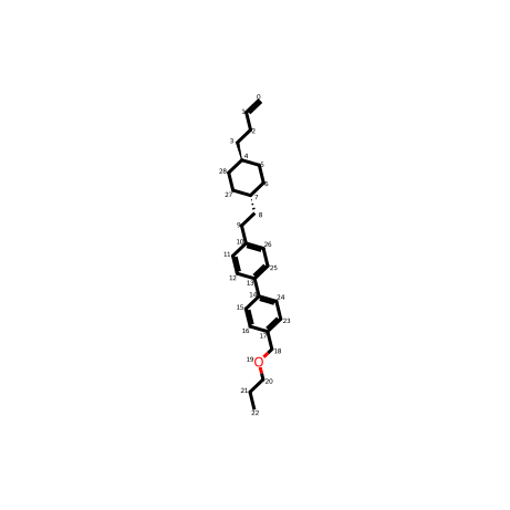 C=CCC[C@H]1CC[C@H](CCc2ccc(-c3ccc(COCCC)cc3)cc2)CC1